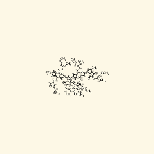 CCCCC(CC)CCc1c2cc(-c3sc(-c4cc5c(CCC(CC)CCCC)c6sc(-c7sc(C)c8c7C(=O)N(CC(CC)CCCC)C8=O)cc6c(CCC(CC)CCCC)c5s4)c4c3C(=O)C(CC(CC)CCCC)=C(CC(CC)CCCC)C4=O)sc2c(CCC(CC)CCCC)c2cc(C)sc12